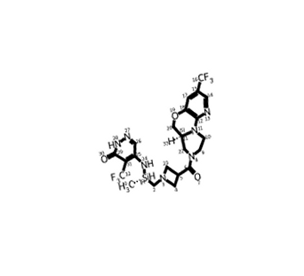 C[Si@@H](CN1CC(C(=O)N2CCN3c4ncc(C(F)(F)F)cc4OC[C@@H]3C2)C1)Nc1cn[nH]c(=O)c1C(F)(F)F